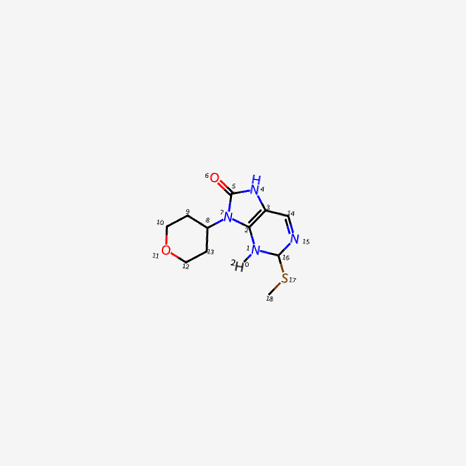 [2H]N1c2c([nH]c(=O)n2C2CCOCC2)C=NC1SC